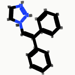 C(=C(c1ccccc1)c1ccccc1)n1ccnn1